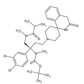 CC(C)C(=O)N(C)C[C@](CCN1CCC2(CC1)NC(=O)Cc1ccccc12)(c1ccc(Cl)c(Cl)c1)N(C)C(=O)OC(C)(C)C